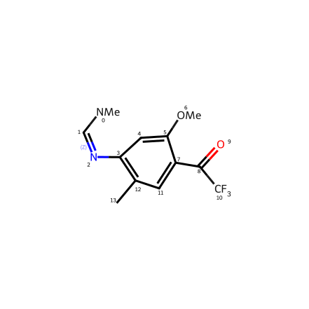 CN/C=N\c1cc(OC)c(C(=O)C(F)(F)F)cc1C